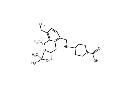 CCc1ccc(CNC2CCN(C(=O)O)CC2)c(CC2COC(C)(C)O2)c1OC